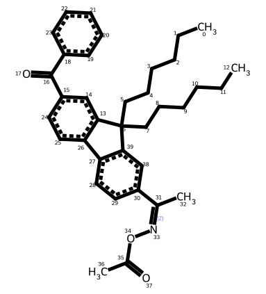 CCCCCCC1(CCCCCC)c2cc(C(=O)c3ccccc3)ccc2-c2ccc(/C(C)=N\OC(C)=O)cc21